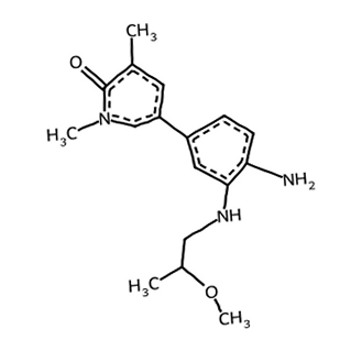 COC(C)CNc1cc(-c2cc(C)c(=O)n(C)c2)ccc1N